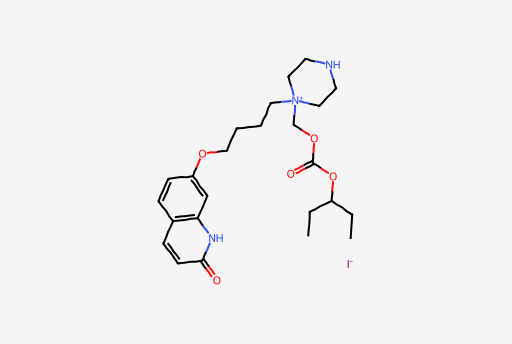 CCC(CC)OC(=O)OC[N+]1(CCCCOc2ccc3ccc(=O)[nH]c3c2)CCNCC1.[I-]